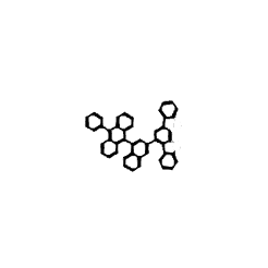 c1ccc(-c2c3ccccc3c(-c3cc(-c4cc5c6ccccc6oc5c5oc6ccccc6c45)cc4ccccc34)c3ccccc23)cc1